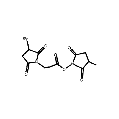 CC1CC(=O)N(OC(=O)CN2C(=O)CC(C(C)C)C2=O)C1=O